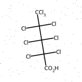 O=C(O)C(Cl)(Cl)C(Cl)(Cl)C(Cl)(Cl)C(Cl)(Cl)Cl